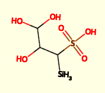 O=S(=O)(O)C([SiH3])C(O)C(O)O